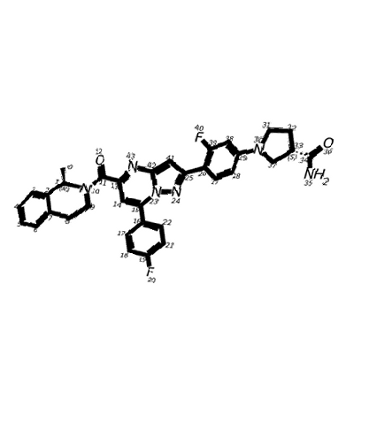 C[C@@H]1c2ccccc2CCN1C(=O)c1cc(-c2ccc(F)cc2)n2nc(-c3ccc(N4CC[C@H](C(N)=O)C4)cc3F)cc2n1